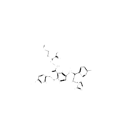 CSCC[C@H](NNC(=O)c1cc(NC(Cn2ccnc2)c2ccc(F)cc2)ccc1CCc1ccc(F)cc1)C(=O)O